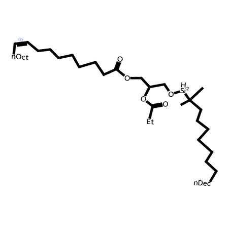 CCCCCCCC/C=C\CCCCCCCC(=O)OCC(CO[SiH2]C(C)(C)CCCCCCCCCCCCCCCCC)OC(=O)CC